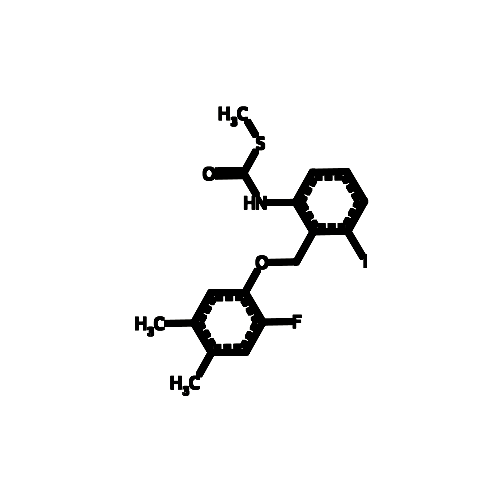 CSC(=O)Nc1cccc(I)c1COc1cc(C)c(C)cc1F